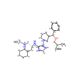 COC(C)COC(c1ccccc1)C1CCCN(c2nsnc2N[C@@H](CNC(=O)O)CC2CCCCC2)C1